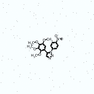 COc1cc(-c2cnnn2-c2ccc([N+](=O)[O-])cc2)c(OC)c(OC)c1OC